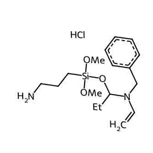 C=CN(Cc1ccccc1)C(CC)O[Si](CCCN)(OC)OC.Cl